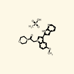 COc1ccc2c(c1)c(-c1cc3cccnc3[nH]1)cn2CC(=O)N1CCOCC1.CS(=O)(=O)O